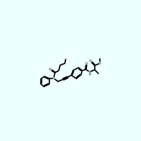 CCCCC(=O)N(CC#Cc1ccc(C(=O)NC(C)C(=O)OC)cc1)c1ccccc1